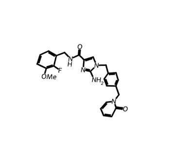 COc1cccc(CNC(=O)c2cn(Cc3ccc(Cn4ccccc4=O)cc3)c(N)n2)c1F